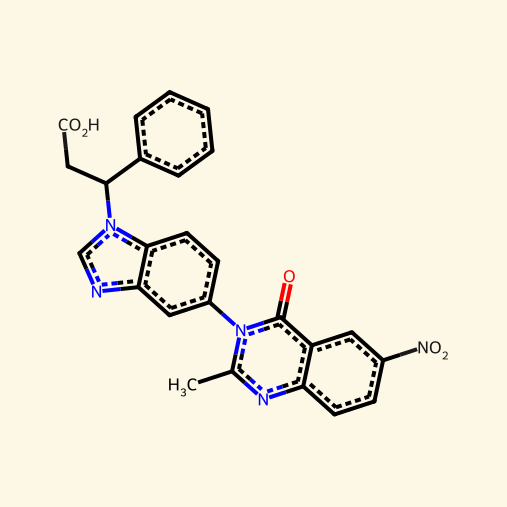 Cc1nc2ccc([N+](=O)[O-])cc2c(=O)n1-c1ccc2c(c1)ncn2C(CC(=O)O)c1ccccc1